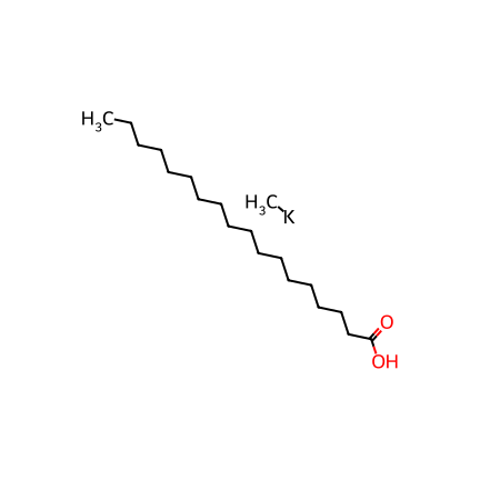 CCCCCCCCCCCCCCCCCC(=O)O.[CH3][K]